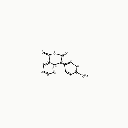 COc1ccc(-n2c(=O)oc(=O)c3ccccc32)cc1